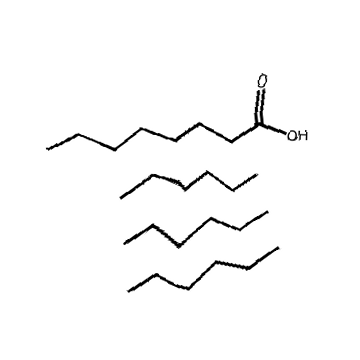 CCCCCC.CCCCCC.CCCCCC.CCCCCCCC(=O)O